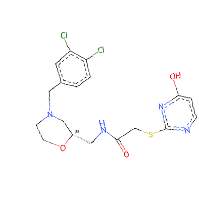 O=C(CSc1nccc(O)n1)NC[C@H]1CN(Cc2ccc(Cl)c(Cl)c2)CCO1